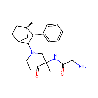 CCN(CC(C)(C=O)NC(=O)CN)C1C2CC[C@@H](C2)C1c1ccccc1